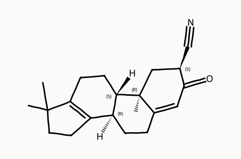 CC1(C)CCC2=C1CC[C@H]1[C@H]2CCC2=CC(=O)[C@H](C#N)C[C@@]21C